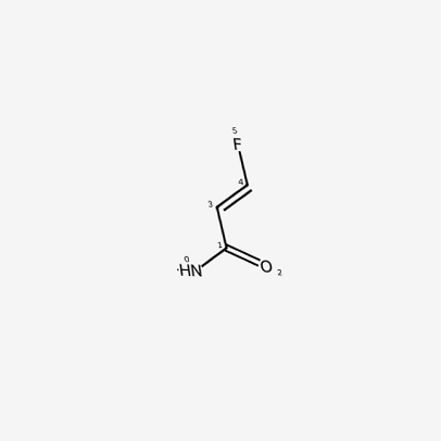 [NH]C(=O)C=CF